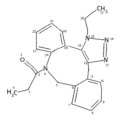 CCC(=O)N1Cc2ccccc2-c2nnn(CC)c2-c2ccccc21